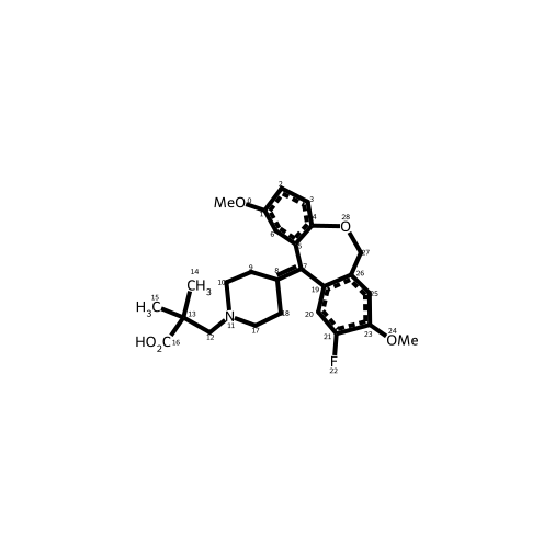 COc1ccc2c(c1)C(=C1CCN(CC(C)(C)C(=O)O)CC1)c1cc(F)c(OC)cc1CO2